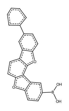 OB(O)c1ccc2oc3ccc4c5cc(-c6ccccc6)ccc5oc4c3c2c1